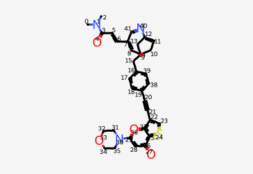 CN(C)C(=O)/C=C/C1=C/CC/C=C(CCCc2ccc(C#Cc3csc4c(=O)cc(N5CCOCC5)oc34)cc2)/N=C\1